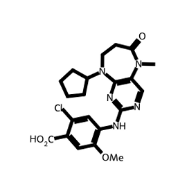 COc1cc(C(=O)O)c(Cl)cc1Nc1ncc2c(n1)N(C1CCCC1)CCC(=O)N2C